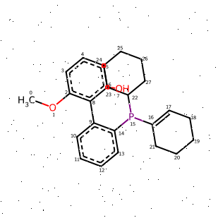 COc1cccc(O)c1-c1ccccc1P(C1=CCCCC1)C1CCCCC1